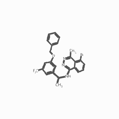 Cc1nnc(NC(C)c2cc(OCc3ccccc3)cc(C(F)(F)F)c2)c2cccc(Br)c12